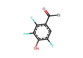 CCC(=O)c1cc(F)c(O)c(F)c1F